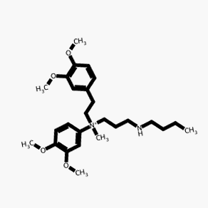 CCCCNCCC[N+](C)(CCc1ccc(OC)c(OC)c1)c1ccc(OC)c(OC)c1